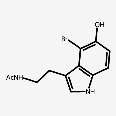 CC(=O)NCCc1c[nH]c2ccc(O)c(Br)c12